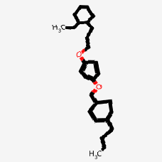 CCCCC1CCC(COc2ccc(OCCCC3CCCCC3CC)cc2)CC1